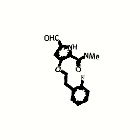 CNC(=O)c1[nH]c(C=O)cc1OCCc1ccccc1F